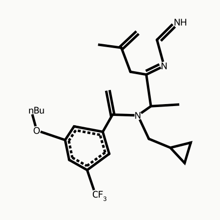 C=C(C)C/C(=N\C=N)C(C)N(CC1CC1)C(=C)c1cc(OCCCC)cc(C(F)(F)F)c1